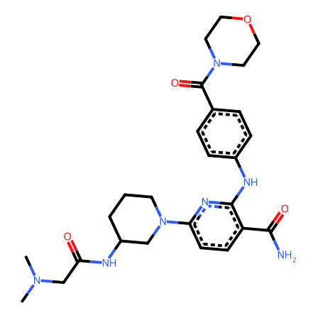 CN(C)CC(=O)NC1CCCN(c2ccc(C(N)=O)c(Nc3ccc(C(=O)N4CCOCC4)cc3)n2)C1